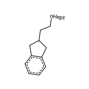 CCCCCCCCC[C]1Cc2ccccc2C1